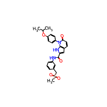 CC(C)Oc1ccc(-n2c(=O)ccc3cc(C(=O)Nc4cccc(CS(C)(=O)=O)c4)[nH]c32)cc1